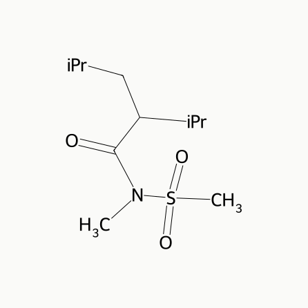 CC(C)CC(C(=O)N(C)S(C)(=O)=O)C(C)C